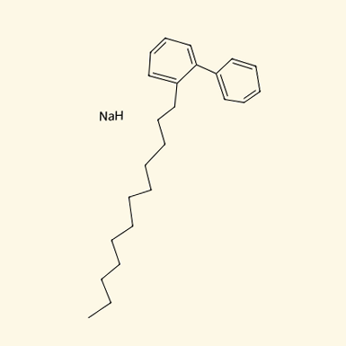 CCCCCCCCCCCCc1ccccc1-c1ccccc1.[NaH]